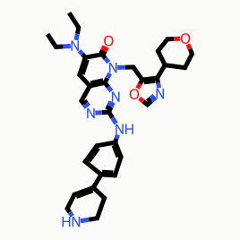 CCN(CC)c1cc2cnc(Nc3ccc(C4=CCNCC4)cc3)nc2n(Cc2ocnc2C2CCOCC2)c1=O